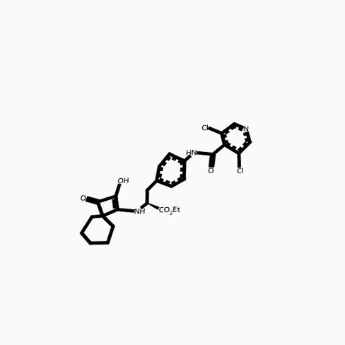 CCOC(=O)[C@H](Cc1ccc(NC(=O)c2c(Cl)cncc2Cl)cc1)NC1=C(O)C(=O)C12CCCCC2